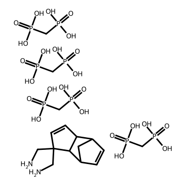 NCC1(CN)C=CC2C3C=CC(C3)C21.O=P(O)(O)CP(=O)(O)O.O=P(O)(O)CP(=O)(O)O.O=P(O)(O)CP(=O)(O)O.O=P(O)(O)CP(=O)(O)O